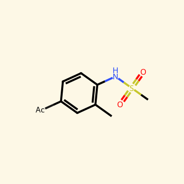 CC(=O)c1ccc(NS(C)(=O)=O)c(C)c1